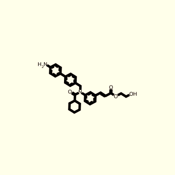 Nc1ccc(-c2ccc(CN(C(=O)C3CCCCC3)c3cccc(/C=C/C(=O)OCCO)c3)cc2)cc1